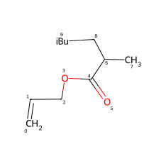 C=CCOC(=O)C(C)CC(C)CC